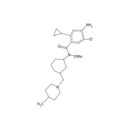 CON(C(=O)c1cc(Cl)c(N)cc1C1CC1)C1CCCC(CN2CCC(C)CC2)C1